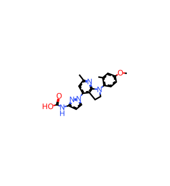 COc1ccc(N2CCc3c(-n4ccc(NC(=O)O)n4)cc(C)nc32)c(C)c1